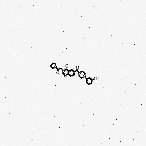 O=C(Cn1cnc2ccc(C(=O)N3CCN(c4cccc(Cl)c4)CC3)cc2c1=O)N1CCCC1